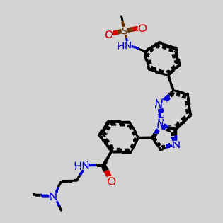 CN(C)CCNC(=O)c1cccc(-c2cnc3ccc(-c4cccc(NS(C)(=O)=O)c4)nn23)c1